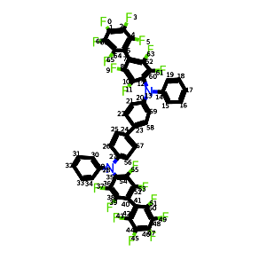 Fc1c(F)c(F)c(-c2c(F)c(F)c(N(c3ccccc3)c3ccc(-c4ccc(N(c5ccccc5)c5c(F)c(F)c(-c6c(F)c(F)c(F)c(F)c6F)c(F)c5F)cc4)cc3)c(F)c2F)c(F)c1F